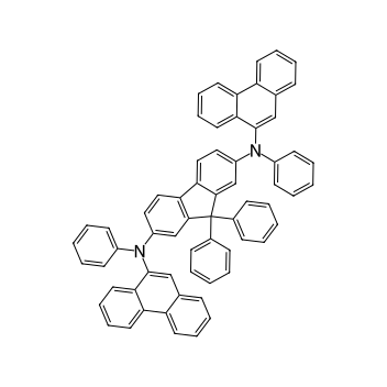 c1ccc(N(c2ccc3c(c2)C(c2ccccc2)(c2ccccc2)c2cc(N(c4ccccc4)c4cc5ccccc5c5ccccc45)ccc2-3)c2cc3ccccc3c3ccccc23)cc1